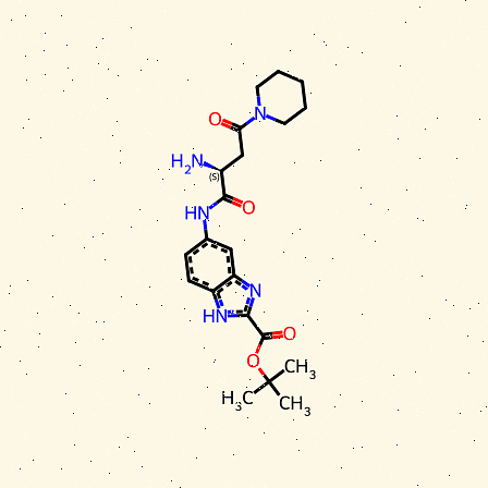 CC(C)(C)OC(=O)c1nc2cc(NC(=O)[C@@H](N)CC(=O)N3CCCCC3)ccc2[nH]1